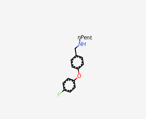 CCCCCNCc1ccc(Oc2ccc(F)cc2)cc1